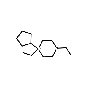 CCN1CC[N+](CC)(C2CCCC2)CC1